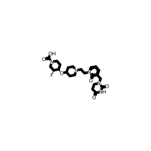 O=C1CCN(Cc2cccn(CCN3CCC(O[C@@H]4CCN(C(=O)O)C[C@H]4F)CC3)c2=O)C(=O)N1